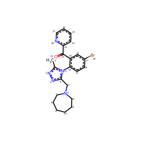 Cc1nnc(CN2CCCCCC2)n1-c1ccc(Br)cc1C(=O)c1ccccn1